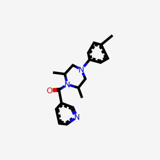 Cc1ccc(N2CC(C)N(C(=O)c3cccnc3)C(C)C2)cc1